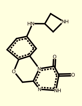 O=c1[nH]nc2n(c1=O)-c1cc(NC3CNC3)ccc1OC2